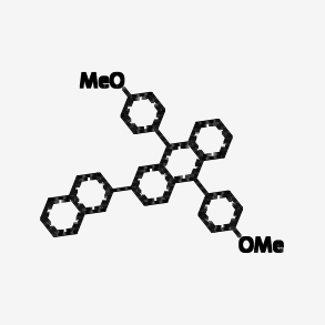 COc1ccc(-c2c3ccccc3c(-c3ccc(OC)cc3)c3cc(-c4ccc5ccccc5c4)ccc23)cc1